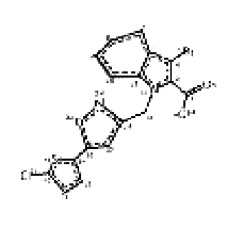 O=C(O)c1c(Br)c2ccccc2n1Cc1cc(-c2ccc(Cl)s2)on1